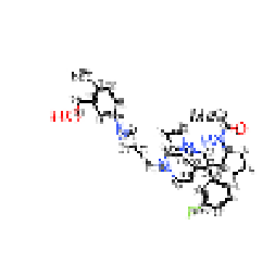 COC(=O)N[C@H]1CCC[C@@H]1[C@](CN1CCC1)(c1cccc(F)c1)C1CCN(CC2CN(c3ccc(C#N)c(CO)c3)C2)CC1